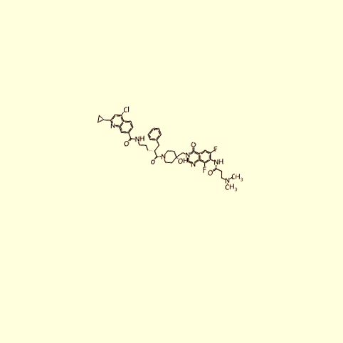 CN(C)CCC(=O)Nc1c(F)cc2c(=O)n(CC3(O)CCN(C(=O)[C@H](CCCNC(=O)c4ccc5c(Cl)cc(C6CC6)nc5c4)Cc4ccccc4)CC3)cnc2c1F